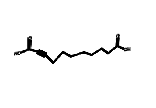 O=C(O)C#CCCCCCCCC(=O)O